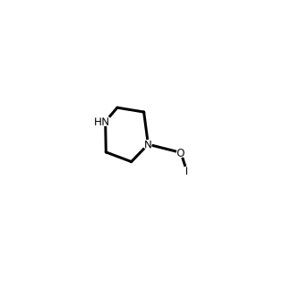 ION1CCNCC1